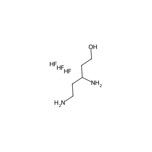 F.F.F.NCCC(N)CCO